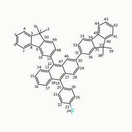 CC1(C)c2ccccc2-c2cc(-c3c4ccccc4c(-c4ccc(F)cc4)c4ccc(-c5ccc6c(c5)C(C)(C)c5ccccc5-6)cc34)ccc21